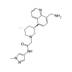 C[C@@H]1C[C@@H](c2ccc(CN)c3ncccc23)CN(CC(=O)Nc2cnn(C)c2)C1